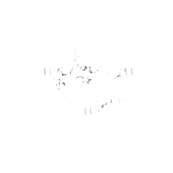 C=C=C(C)CCCCC1=N/C(=C/C(=C\C=C)C(=C)N2CCCC2)CN=C1CCC/C=C\C